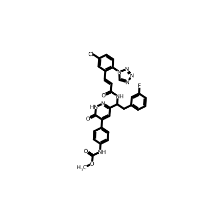 COC(=O)Nc1ccc(-c2cc(C(Cc3cccc(F)c3)NC(=O)C=Cc3cc(Cl)ccc3-n3cnnn3)n[nH]c2=O)cc1